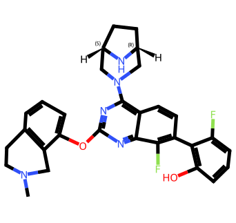 CN1CCc2cccc(Oc3nc(N4C[C@H]5CC[C@@H](C4)N5)c4ccc(-c5c(O)cccc5F)c(F)c4n3)c2C1